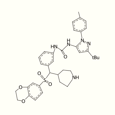 Cc1ccc(-n2nc(C(C)(C)C)cc2NC(=O)Nc2cccc(C(C3CCNCC3)S(=O)(=O)c3ccc4c(c3)OCCO4)c2)cc1